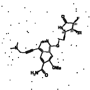 CC[C@@H]1[C@H](F)C(=O)N[C@@H]1CCOc1ncc(C#CCN(C)C)c2cc(C(N)=O)c(OC)cc12